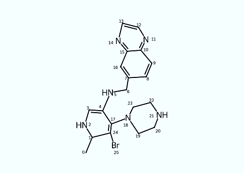 CC1NC=C(NCc2ccc3nccnc3c2)C(N2CCNCC2)=C1Br